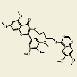 COc1cc(OC)c2c(=O)c(OCCCCSc3ncnc4cc(OC)c(OC)cc34)c(-c3cc(OC)c(OC)c(OC)c3)oc2c1